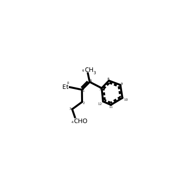 CCC(CCC=O)=C(C)c1ccccc1